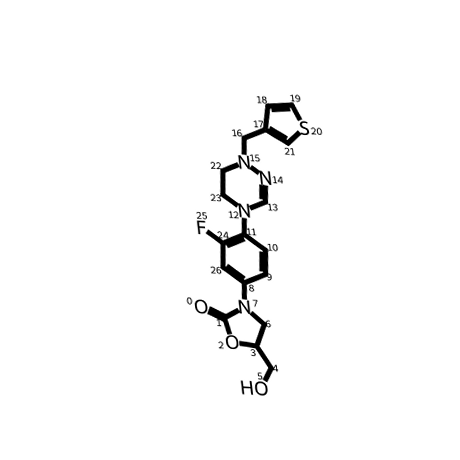 O=C1OC(CO)CN1c1ccc(N2C=NN(Cc3ccsc3)CC2)c(F)c1